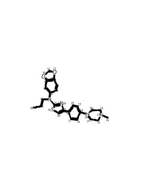 CCCN(c1ccc2c(c1)OCO2)c1nc(-c2ccc(N3CCN(C)CC3)cc2)cs1